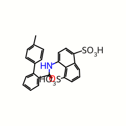 Cc1ccc(-c2ccccc2C(=O)Nc2ccc(S(=O)(=O)O)c3cccc(S(=O)(=O)O)c23)cc1